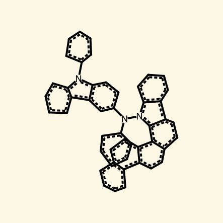 c1ccc(N(c2ccc3c(c2)c2ccccc2n3-c2ccccc2)n2c3ccccc3c3ccc4ccc5c6ccccc6ccc5c4c32)cc1